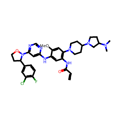 C=CC(=O)Nc1cc(Nc2cc(N3OCCC3c3ccc(F)c(Cl)c3)ncn2)c(OC)cc1N1CCC(N2CCC(N(C)C)C2)CC1